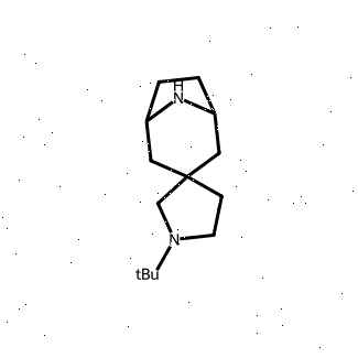 CC(C)(C)N1CCC2(CC3CCC(C2)N3)C1